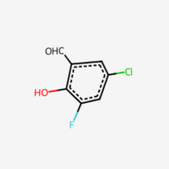 O=Cc1cc(Cl)cc(F)c1O